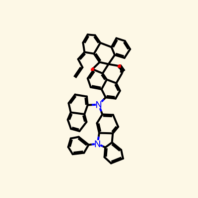 C=C/C=c1/cccc2c1=C(C)C1(c3ccccc3-2)c2ccccc2-c2ccc(N(c3ccc4c5ccccc5n(-c5ccccc5)c4c3)c3cccc4ccccc34)c3cccc1c23